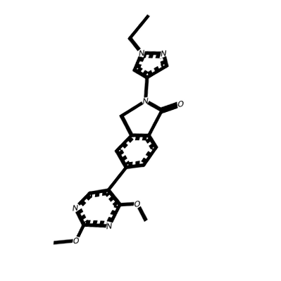 CCn1cc(N2Cc3cc(-c4cnc(OC)nc4OC)ccc3C2=O)cn1